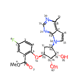 COC(=O)c1cc(F)ccc1O[C@H]1C[C@@H](n2ccc3c(C)ncnc32)[C@H](O)[C@@H]1O